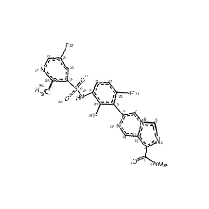 CNC(=O)c1ncn2cc(-c3c(F)ccc(NS(=O)(=O)c4cc(F)cnc4C)c3F)ncc12